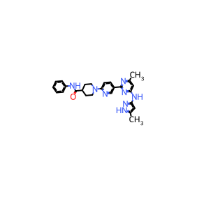 Cc1cc(Nc2cc(C)[nH]n2)nc(-c2ccc(N3CCC(C(=O)Nc4ccccc4)CC3)nc2)n1